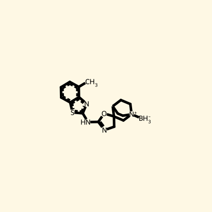 [BH3-][N+]12CCC(CC1)C1(CN=C(Nc3nc4c(C)cccc4s3)O1)C2